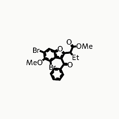 CCC(C(=O)OC)c1oc2cc(Br)c(OC)c(Br)c2c1C(=O)c1ccccc1